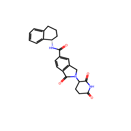 O=C1CCC(N2Cc3cc(C(=O)N[C@H]4CCCc5ccccc54)ccc3C2=O)C(=O)N1